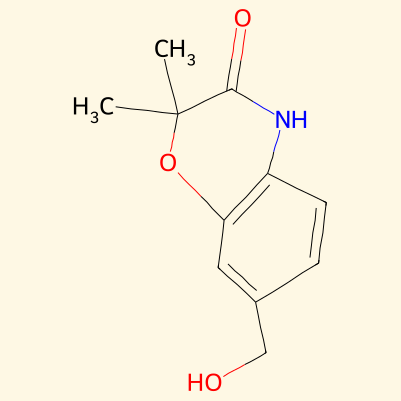 CC1(C)Oc2cc(CO)ccc2NC1=O